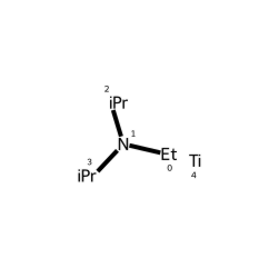 [CH2]CN(C(C)C)C(C)C.[Ti]